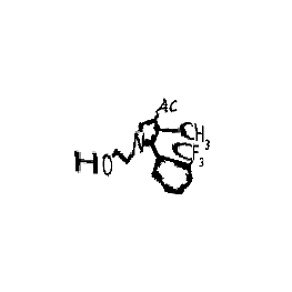 CC(=O)c1cn(CCO)c(-c2ccccc2C(F)(F)F)c1C